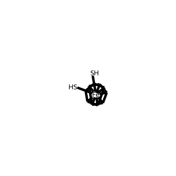 S[C]12[CH]3[CH]4[CH]5[C]1(S)[Fe]43521678[CH]2[CH]1[CH]6[CH]7[CH]28